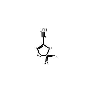 C#CC1=COS(=O)(=O)S1